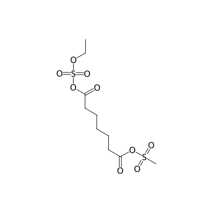 CCOS(=O)(=O)OC(=O)CCCCCC(=O)OS(C)(=O)=O